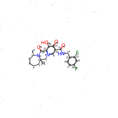 C[C@@H]1CCCC[C@H]2Cn3cc(C(=O)NCc4ccc(F)cc4F)c(=O)c(O)c3C(=O)N21